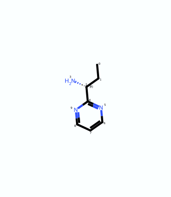 CC[C@@H](N)c1ncccn1